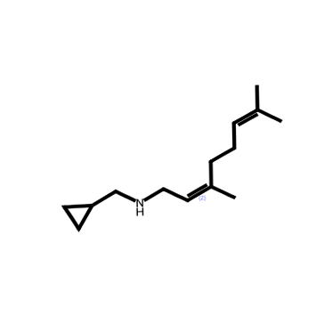 CC(C)=CCC/C(C)=C\CNCC1CC1